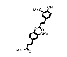 COC(=O)C=Cc1ccc(OC(=O)C=Cc2ccc(O)c(OC)c2)c(OC)c1